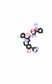 COc1cc2c(cc1-c1cncnc1)-c1cc(C(=O)N[C@@H](CO)Cc3c[nH]c4ccccc34)c(-c3cccc(F)c3)n1CC2